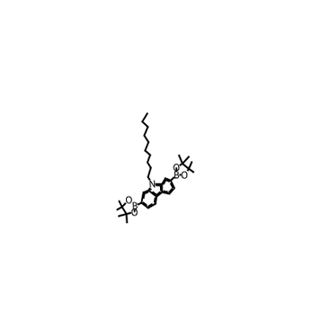 CCCCCCCCCCn1c2cc(B3OC(C)(C)C(C)(C)O3)ccc2c2ccc(B3OC(C)(C)C(C)(C)O3)cc21